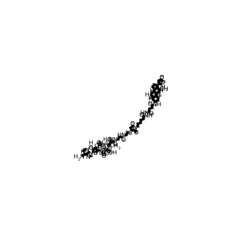 CC(C)(COP(=O)(O)OP(=O)(O)OC[C@H]1O[C@@H](n2cnc3c(N)ncnc32)C(O)[C@H]1OP(=O)(O)O)[C@@H](O)C(=O)NCCC(=O)NCCS[C@H]1CC(=O)N(CCCCCC(=O)NNC(=O)CCC(=O)N[C@H]2CC[C@@]3(C)[C@H](CC[C@@H]4[C@H]3C[C@@H](O)[C@]3(C)[C@@H](C5=CC(=O)OC5)CC[C@]43O)C2)C1=O